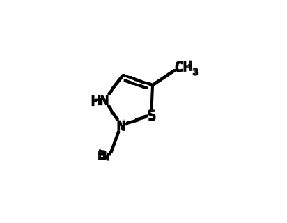 CC1=CNN(Br)S1